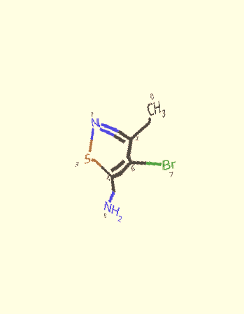 Cc1nsc(N)c1Br